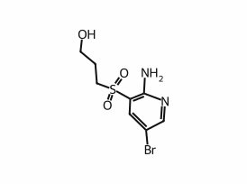 Nc1ncc(Br)cc1S(=O)(=O)CCCO